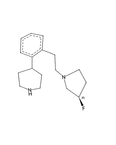 F[C@@H]1CCN(CCc2ccccc2C2CCNCC2)C1